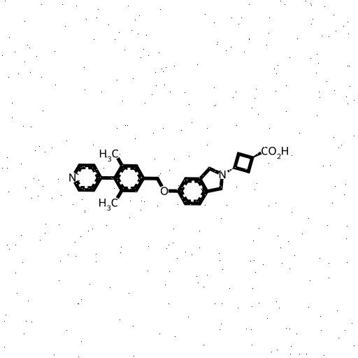 Cc1cc(COc2ccc3c(c2)CN([C@H]2C[C@H](C(=O)O)C2)C3)cc(C)c1-c1ccncc1